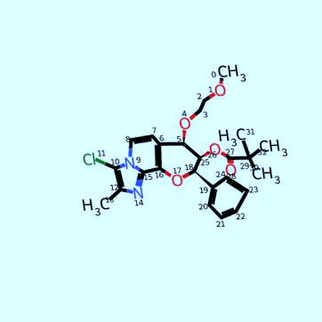 COCCO[C@@H]1c2ccn3c(Cl)c(C)nc3c2O[C@H](c2ccccc2)[C@@H]1OC(=O)C(C)(C)C